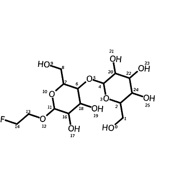 OCC1OC(OC2C(CO)OC(OCCF)C(O)C2O)C(O)C(O)C1O